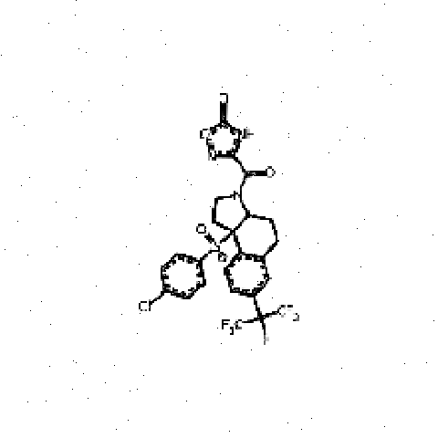 O=C(c1noc(=O)[nH]1)N1CCC2(S(=O)(=O)c3ccc(Cl)cc3)c3ccc(C(F)(C(F)(F)F)C(F)(F)F)cc3CCC12